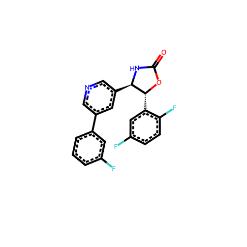 O=C1N[C@H](c2cncc(-c3cccc(F)c3)c2)[C@@H](c2cc(F)ccc2F)O1